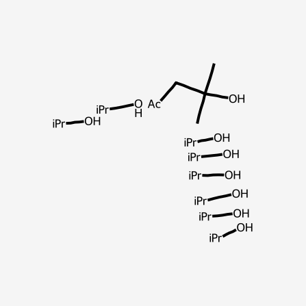 CC(=O)CC(C)(C)O.CC(C)O.CC(C)O.CC(C)O.CC(C)O.CC(C)O.CC(C)O.CC(C)O.CC(C)O